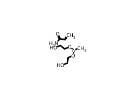 C=CC(N)=O.CN(OCCO)OCCO